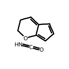 C1=CC2=CCCOC2=C1.N=C=O